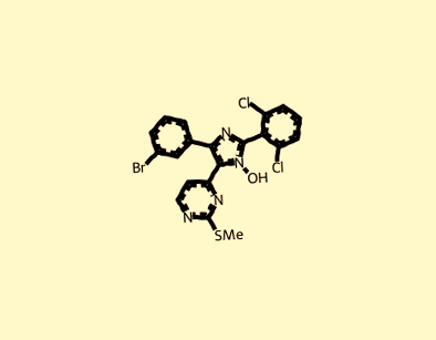 CSc1nccc(-c2c(-c3cccc(Br)c3)nc(-c3c(Cl)cccc3Cl)n2O)n1